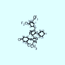 Cc1nnc(-c2nnn(Cc3cc(C(F)(F)F)cc(C(F)(F)F)c3)c2-c2ccccc2)n1-c1ccc(Cl)cc1Cl